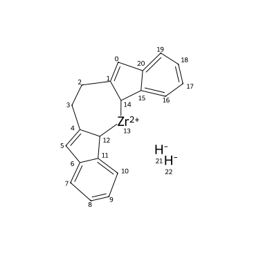 C1=C2CCC3=Cc4ccccc4[CH]3[Zr+2][CH]2c2ccccc21.[H-].[H-]